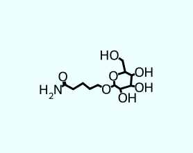 NC(=O)CCCCOC1OC(CO)C(O)C(O)C1O